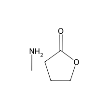 CN.O=C1CCCO1